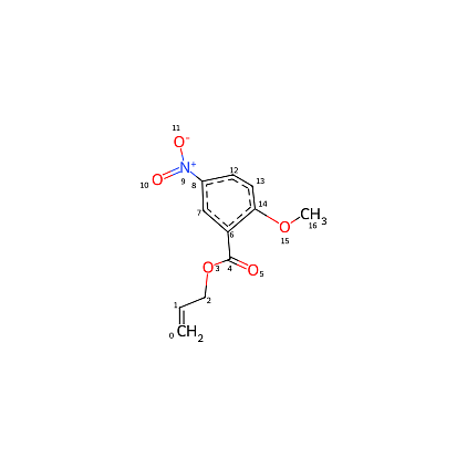 C=CCOC(=O)c1cc([N+](=O)[O-])ccc1OC